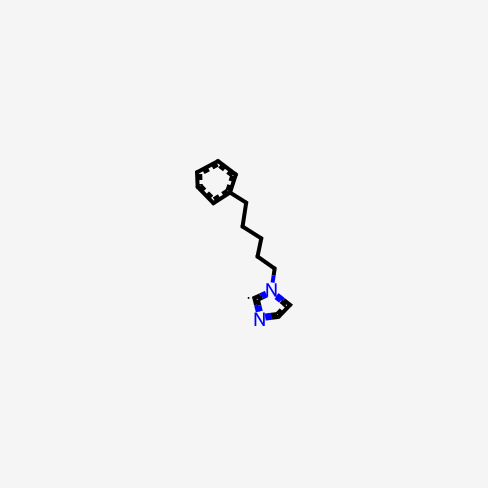 [c]1nccn1CCCCCc1ccccc1